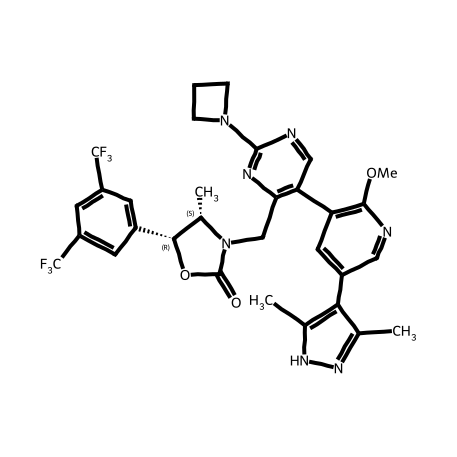 COc1ncc(-c2c(C)n[nH]c2C)cc1-c1cnc(N2CCC2)nc1CN1C(=O)O[C@H](c2cc(C(F)(F)F)cc(C(F)(F)F)c2)[C@@H]1C